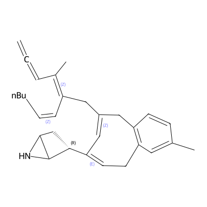 C=C=C/C(C)=C(\C=C/CCCC)C/C1=C\C([C@H]2CC3NC32)=C/Cc2cc(C)ccc2C1